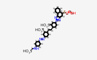 O=S(=O)(O)CNc1ccc(N=Nc2ccc(C=Cc3ccc(-n4nc5cc(SOOO)c6ccccc6c5n4)cc3S(=O)(=O)O)c(S(=O)(=O)O)c2)cc1